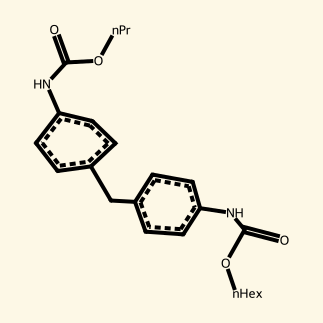 CCCCCCOC(=O)Nc1ccc(Cc2ccc(NC(=O)OCCC)cc2)cc1